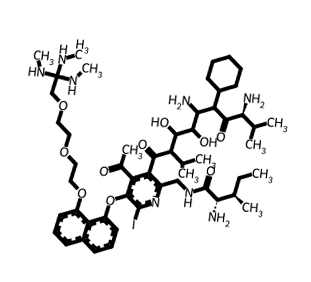 CC[C@@H](C)[C@H](N)C(=O)NCc1nc(I)c(Oc2cccc3cccc(OCCOCCOCC(NC)(NC)NC)c23)c(C(C)=O)c1C(=O)C(C(C)C)C(O)C(O)C(N)C(C(=O)[C@@H](N)C(C)C)C1CCCCC1